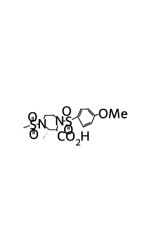 COc1ccc(S(=O)(=O)N2CCN(S(C)(=O)=O)[C@@H](C)[C@@H]2C(=O)O)cc1